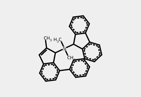 CC1=Cc2cccc(-c3ccccc3)c2C1[Si](C)(C)C1c2ccccc2-c2ccccc21